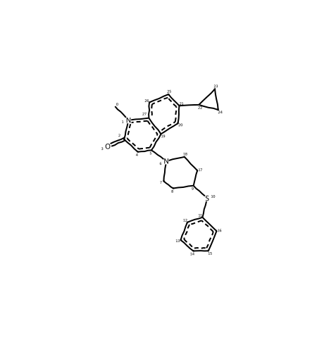 Cn1c(=O)cc(N2CCC(Sc3ccccc3)CC2)c2cc(C3CC3)ccc21